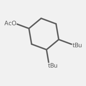 CC(=O)OC1CCC(C(C)(C)C)C(C(C)(C)C)C1